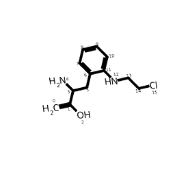 C=C(O)C(N)Cc1ccccc1NCCCl